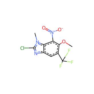 COc1c(C(F)(F)F)cc2nc(Cl)n(C)c2c1[N+](=O)[O-]